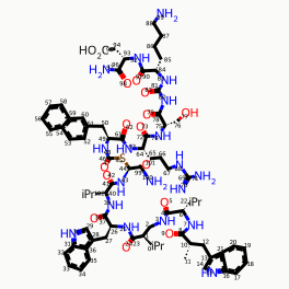 CC(C)[C@H](CNC(=O)[C@@H](NC(=O)[C@@H](C)Cc1c[nH]c2ccccc12)C(C)C)C(=O)N[C@@H](Cc1c[nH]c2ccccc12)C(=O)N[C@H](C(=O)N[C@@H](SC(=O)N[C@@H](Cc1ccc2ccccc2c1)C(=O)N[C@@H](CCCNC(=N)N)C(=O)N[C@@H](CO)C(=O)NC(=O)N[C@@H](CCCCN)C(=O)N[C@@H](CC(=O)O)C(N)=O)C(N)=O)C(C)C